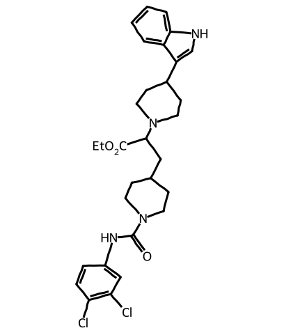 CCOC(=O)C(CC1CCN(C(=O)Nc2ccc(Cl)c(Cl)c2)CC1)N1CCC(c2c[nH]c3ccccc23)CC1